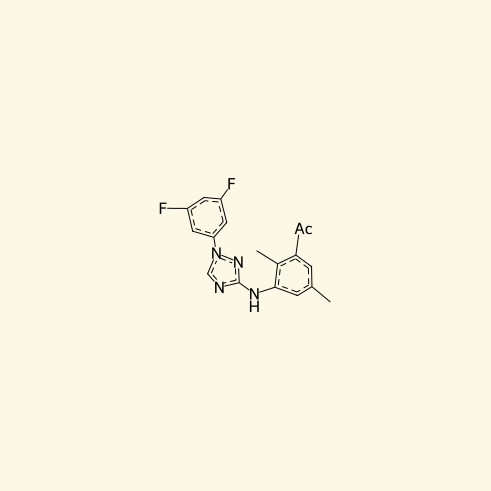 CC(=O)c1cc(C)cc(Nc2ncn(-c3cc(F)cc(F)c3)n2)c1C